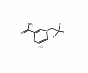 Cl.NC(=O)C1=CN(CC(F)(F)F)C=CC1